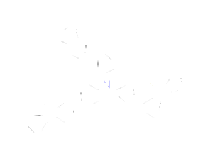 CC1(C)c2ccccc2-c2ccc(-c3ccc(N(c4ccc(-c5cccc6c5sc5ccccc56)cc4)c4cccc(-c5ccc6ccccc6c5)c4)cc3)cc21